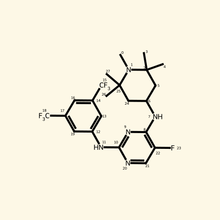 CN1C(C)(C)CC(Nc2nc(Nc3cc(C(F)(F)F)cc(C(F)(F)F)c3)ncc2F)CC1(C)C